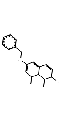 CC1C=C(OCc2ccccc2)C=C2C=CC(Br)C(C)C21